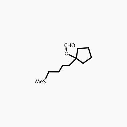 CSCCCCC1(OC=O)CCCC1